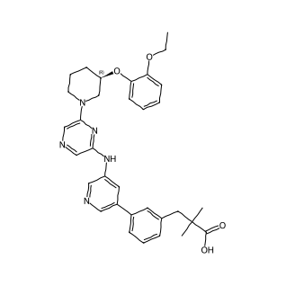 CCOc1ccccc1O[C@@H]1CCCN(c2cncc(Nc3cncc(-c4cccc(CC(C)(C)C(=O)O)c4)c3)n2)C1